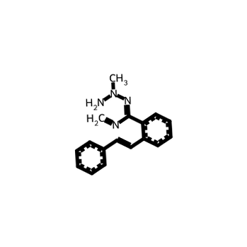 C=N/C(=N\N(C)N)c1ccccc1/C=C/c1ccccc1